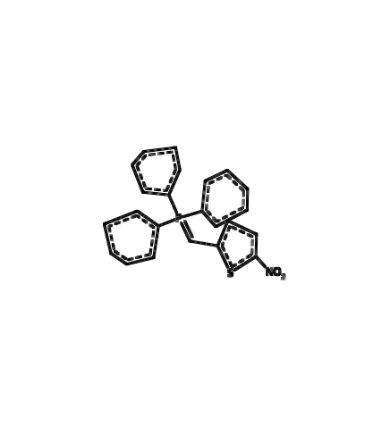 O=[N+]([O-])c1ccc(C=P(c2ccccc2)(c2ccccc2)c2ccccc2)s1